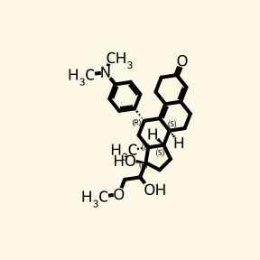 COCC(O)[C@@]1(O)CC[C@H]2[C@@H]3CCC4=CC(=O)CCC4=C3[C@@H](c3ccc(N(C)C)cc3)C[C@@]21C